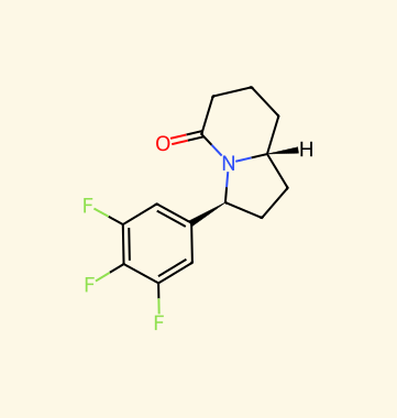 O=C1CCC[C@@H]2CC[C@@H](c3cc(F)c(F)c(F)c3)N12